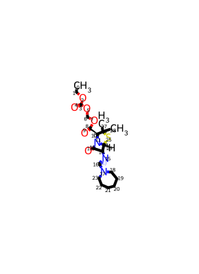 CCOC(=O)OCOC(=O)[C@@H]1N2C(=O)C(/N=C/N3CCCCCC3)[C@H]2SC1(C)C